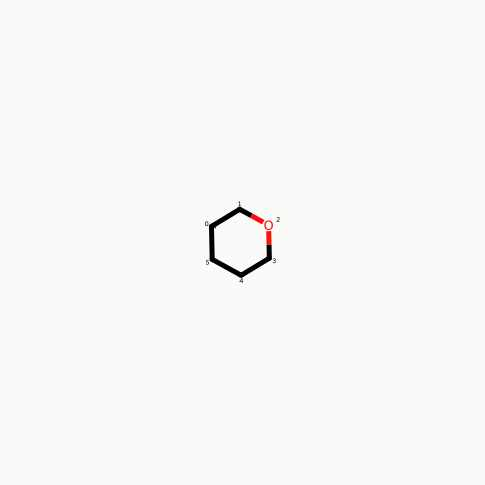 [C]1[C]OCCC1